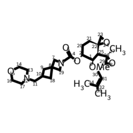 CO[C@@H]1[C@H](OC(=O)N2CC3(CC(CN4CCOCC4)C3)C2)CC[C@]2(CO2)[C@H]1[C@@]1(C)O[C@@H]1CC=C(C)C